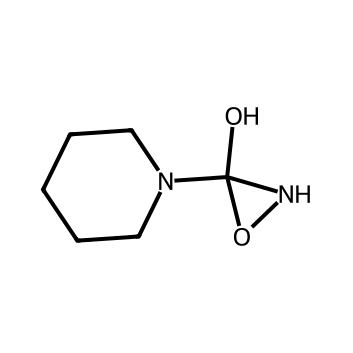 OC1(N2CCCCC2)NO1